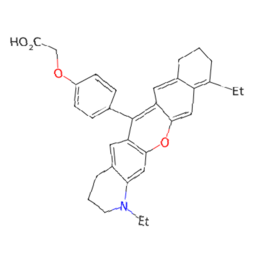 CCC1=c2cc3c(cc2CCC1)=C(c1ccc(OCC(=O)O)cc1)c1cc2c(cc1O3)N(CC)CCC2